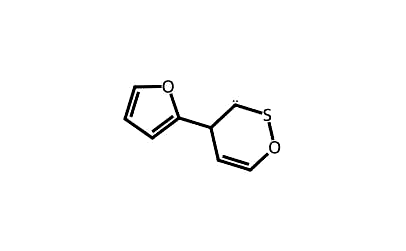 [C]1SOC=CC1c1ccco1